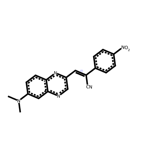 CN(C)c1ccc2nc(/C=C(\C#N)c3ccc([N+](=O)[O-])cc3)cnc2c1